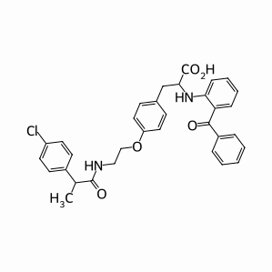 CC(C(=O)NCCOc1ccc(CC(Nc2ccccc2C(=O)c2ccccc2)C(=O)O)cc1)c1ccc(Cl)cc1